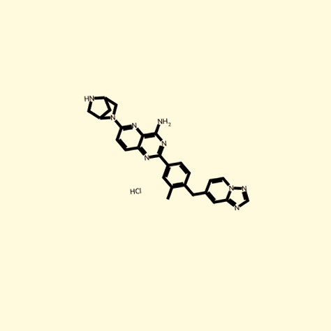 Cc1cc(-c2nc(N)c3nc(N4CC5CC4CN5)ccc3n2)ccc1Cc1ccn2ncnc2c1.Cl